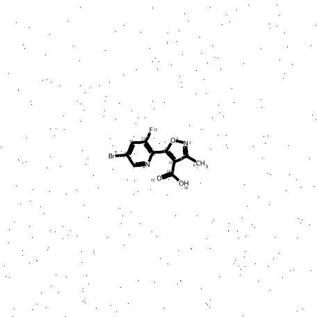 Cc1noc(-c2ncc(Br)cc2F)c1C(=O)O